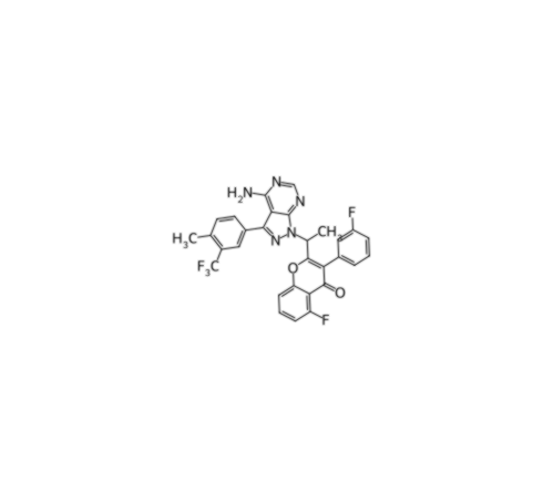 Cc1ccc(-c2nn(C(C)c3oc4cccc(F)c4c(=O)c3-c3cccc(F)c3)c3ncnc(N)c23)cc1C(F)(F)F